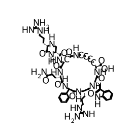 N=C(N)NCCC[C@@H]1NC[C@H](C(=O)N[C@H]2CC(=O)NCCCC[C@@H](C(=O)O)NC(=O)[C@H](Cc3c[nH]c4ccccc34)NC(=O)[C@H](CCCNC(=N)N)NC(=O)C(c3ccccc3)NC(=O)[C@H](CCC(N)=O)NC2=O)NC1=O